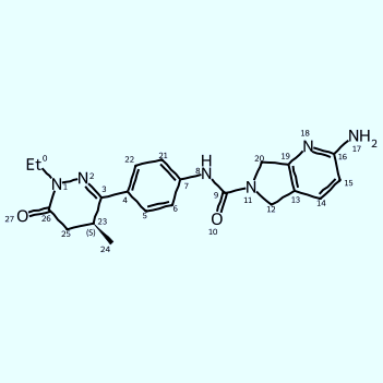 CCN1N=C(c2ccc(NC(=O)N3Cc4ccc(N)nc4C3)cc2)[C@@H](C)CC1=O